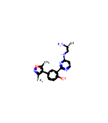 CC[C@H](N)CNc1ccnc(-c2cc(-c3c(C)noc3C)ccc2O)n1